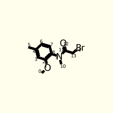 COc1cc(C)ccc1N(C)C(=O)CBr